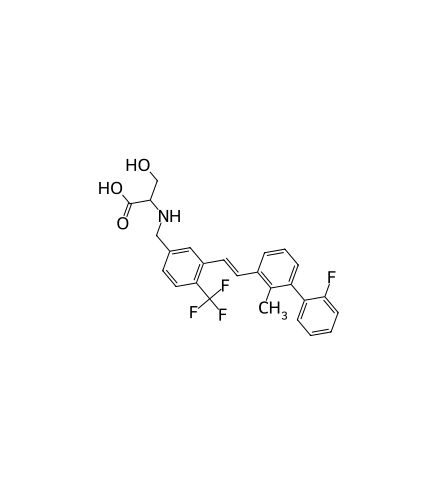 Cc1c(C=Cc2cc(CNC(CO)C(=O)O)ccc2C(F)(F)F)cccc1-c1ccccc1F